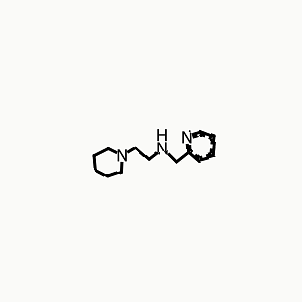 c1ccc(CNCCN2CCCCC2)nc1